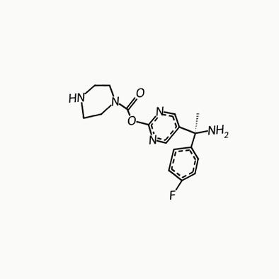 C[C@](N)(c1ccc(F)cc1)c1cnc(OC(=O)N2CCNCC2)nc1